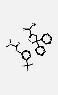 CN(C)C(=O)Nc1cccc(C(F)(F)F)c1.O=C(O)C1=NOC(c2ccccc2)(c2ccccc2)C1